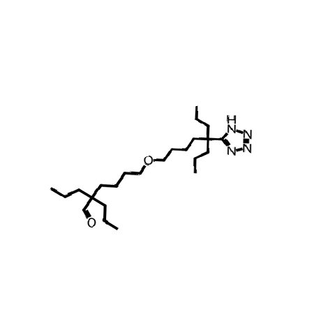 CCCC(C=O)(CCC)CCCCOCCCCC(CCC)(CCC)c1nnn[nH]1